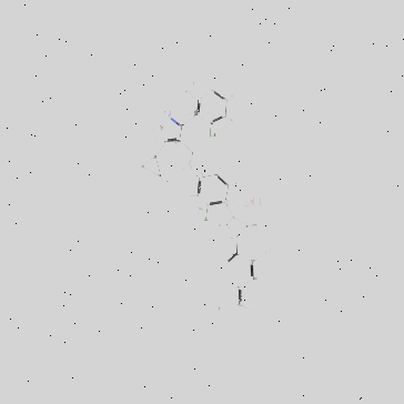 C=C(/C(C)=C\C=C(/C)C(=O)O)[C@H]1C[C@@](O)(c2ccc(OCc3c(-c4c(Cl)cccc4Cl)noc3C3CC3)cc2Cl)C1